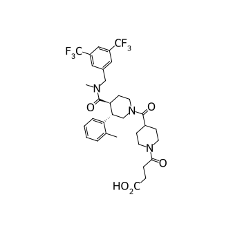 Cc1ccccc1[C@H]1CN(C(=O)C2CCN(C(=O)CCC(=O)O)CC2)CC[C@@H]1C(=O)N(C)Cc1cc(C(F)(F)F)cc(C(F)(F)F)c1